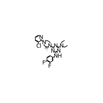 CCN(CC)c1nc(Nc2ccc(F)c(F)c2)nc(N2CCN(c3ncccc3Cl)C[C@H]2C)n1